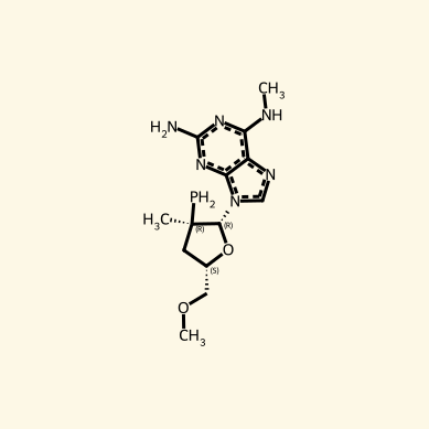 CNc1nc(N)nc2c1ncn2[C@@H]1O[C@H](COC)C[C@@]1(C)P